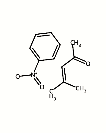 CC(=O)C=C(C)C.O=[N+]([O-])c1ccccc1